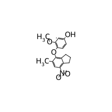 COc1[c]c(O)ccc1Oc1c(C)cc([N+](=O)[O-])c2c1CCC2